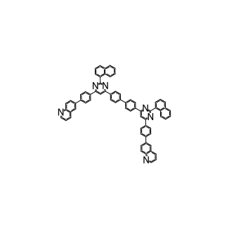 c1cnc2ccc(-c3ccc(-c4cc(-c5ccc(-c6ccc(-c7cc(-c8ccc(-c9ccc%10ncccc%10c9)cc8)nc(-c8cccc9ccccc89)n7)cc6)cc5)nc(-c5cccc6ccccc56)n4)cc3)cc2c1